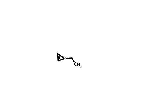 CCP1C=C1